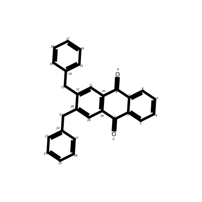 O=C1c2ccccc2C(=O)c2cc(Cc3ccccc3)c(Cc3ccccc3)cc21